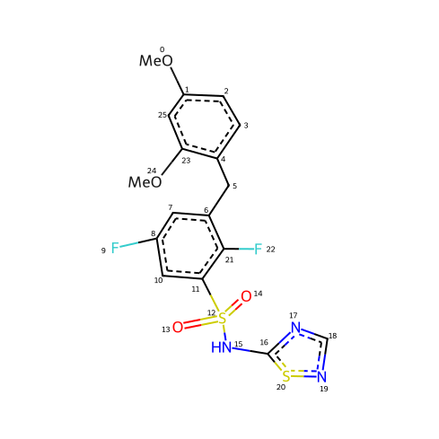 COc1ccc(Cc2cc(F)cc(S(=O)(=O)Nc3ncns3)c2F)c(OC)c1